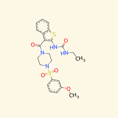 CCNC(=O)Nc1sc2ccccc2c1C(=O)N1CCN(S(=O)(=O)c2cccc(OC)c2)CC1